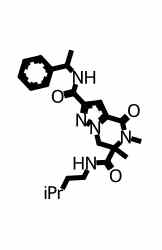 CC(C)CCNC(=O)C1(C)Cn2nc(C(=O)NC(C)c3ccccc3)cc2C(=O)N1C